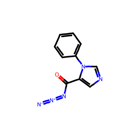 [N-]=[N+]=NC(=O)c1cncn1-c1ccccc1